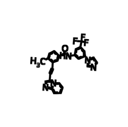 Cc1ccc(C(=O)Nc2cc(-n3ccnc3)cc(C(F)(F)F)c2)cc1C#Cc1cnc2ccccn12